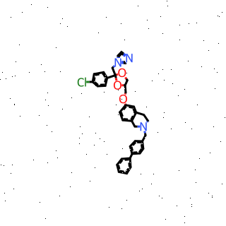 Clc1ccc(C2(Cn3ccnc3)OCC(COc3ccc4c(c3)CCN(Cc3ccc(-c5ccccc5)cc3)C4)O2)cc1